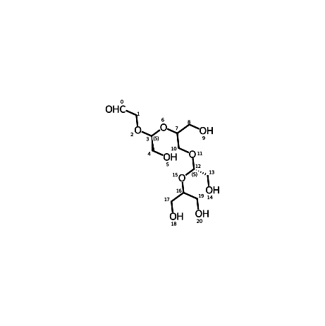 O=CCO[C@H](CO)OC(CO)CO[C@H](CO)OC(CO)CO